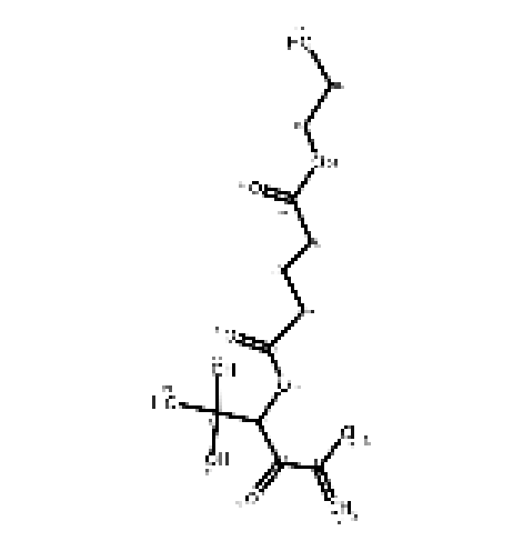 C=C(C)C(=O)C(OC(=O)CCCC(=O)OCCO)C(O)(O)O